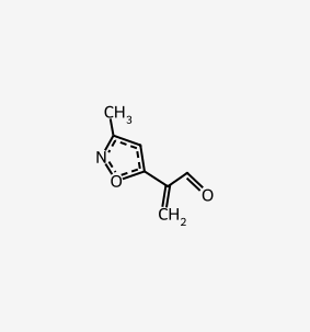 C=C(C=O)c1cc(C)no1